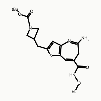 CCONC(=O)C1=Cc2sc(CC3CN(C(=O)OC(C)(C)C)C3)cc2N=C(N)C1